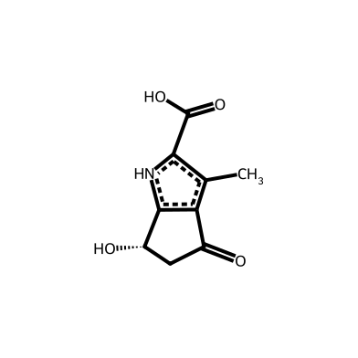 Cc1c(C(=O)O)[nH]c2c1C(=O)C[C@@H]2O